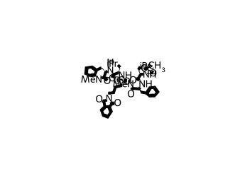 CNC(=O)[C@H](Cc1ccccc1)NC(=O)[C@H](CC(C)C)NS(=O)(=O)CCCCN1C(=O)c2ccccc2C1=O.CNC(=O)[C@H](Cc1ccccc1)NC(=O)[C@H](CC(C)C)NS(C)(=O)=O